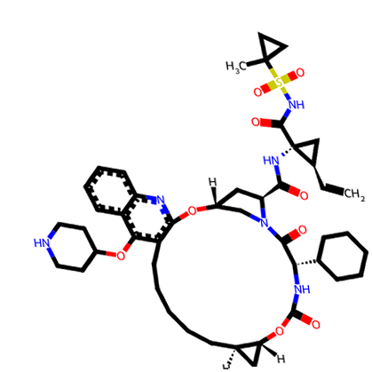 C=C[C@@H]1C[C@]1(NC(=O)[C@@H]1C[C@@H]2CN1C(=O)[C@H](C1CCCCC1)NC(=O)O[C@@H]1C[C@H]1CCCCCc1c(nc3ccccc3c1OC1CCNCC1)O2)C(=O)NS(=O)(=O)C1(C)CC1